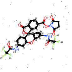 O=C(ON1C(=O)CCC1=O)c1ccc2c(c1)C1(OC2=O)c2ccc(NC(=O)C(F)(F)F)cc2Oc2cc(NC(=O)C(F)(F)F)ccc21